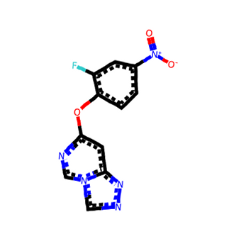 O=[N+]([O-])c1ccc(Oc2cc3nncn3cn2)c(F)c1